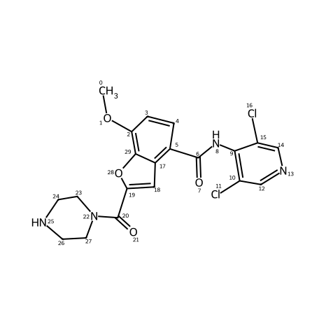 COc1ccc(C(=O)Nc2c(Cl)cncc2Cl)c2cc(C(=O)N3CCNCC3)oc12